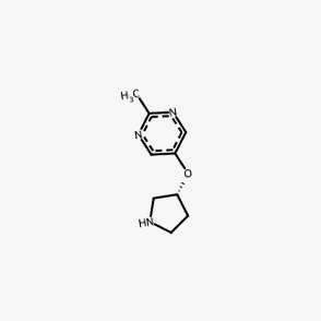 Cc1ncc(O[C@@H]2CCNC2)cn1